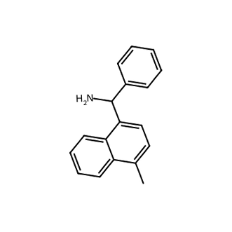 Cc1ccc(C(N)c2ccccc2)c2ccccc12